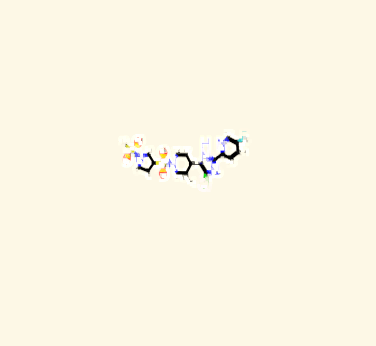 C[C@H]1CN(S(=O)(=O)C2CCN(S(C)(=O)=O)C2)CC[C@H]1c1[nH]c(-c2ccc(F)cn2)nc1Cl